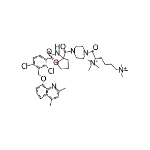 Cc1cc(C)c2cccc(OCc3c(Cl)ccc(S(=O)(=O)NC4(C(=O)N5CCN(C(=O)[C@@H](CCCC[N+](C)(C)C)[N+](C)(C)C)CC5)CCCC4)c3Cl)c2n1